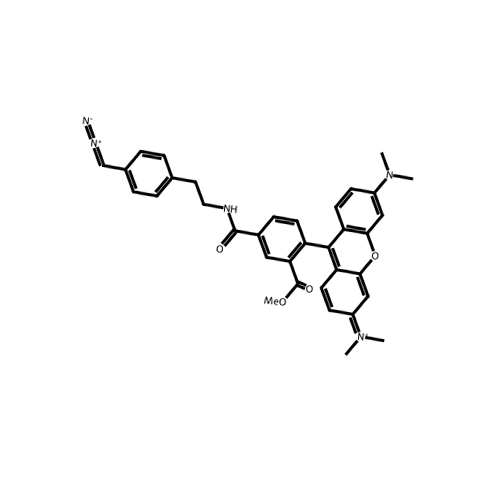 COC(=O)c1cc(C(=O)NCCc2ccc(C=[N+]=[N-])cc2)ccc1-c1c2ccc(=[N+](C)C)cc-2oc2cc(N(C)C)ccc12